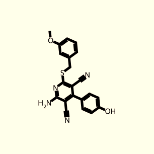 COc1cccc(CSc2nc(N)c(C#N)c(-c3ccc(O)cc3)c2C#N)c1